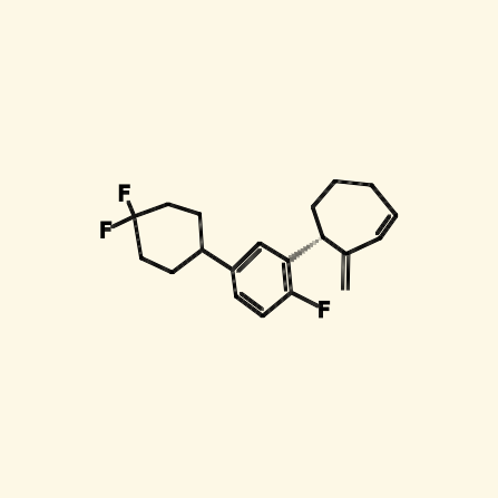 C=C1C=CCCC[C@H]1c1cc(C2CCC(F)(F)CC2)ccc1F